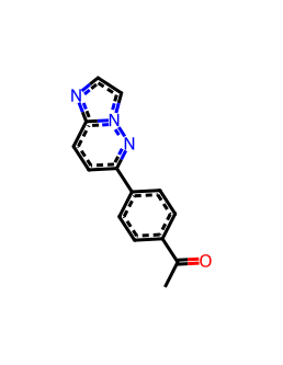 CC(=O)c1ccc(-c2ccc3nccn3n2)cc1